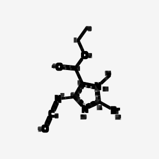 CCOC(=O)c1c(N=C=O)nc(Br)n1C